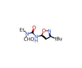 CCN(C=O)C(=O)Nc1cc(C(C)(C)C)no1